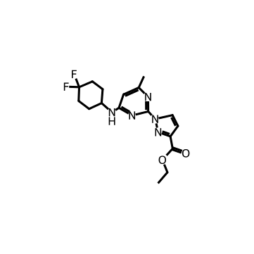 CCOC(=O)c1ccn(-c2nc(C)cc(NC3CCC(F)(F)CC3)n2)n1